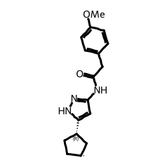 COc1ccc(CC(=O)Nc2cc([C@@H]3C[CH]CC3)[nH]n2)cc1